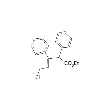 CCOC(=O)C(/C(=C/CCl)c1ccccc1)c1ccccc1